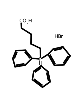 Br.O=C(O)CCCC[PH](c1ccccc1)(c1ccccc1)c1ccccc1